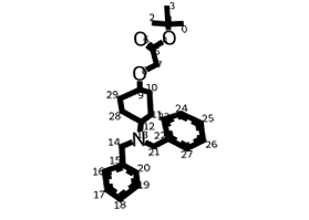 CC(C)(C)OC(=O)COC1CCC(N(Cc2ccccc2)Cc2ccccc2)CC1